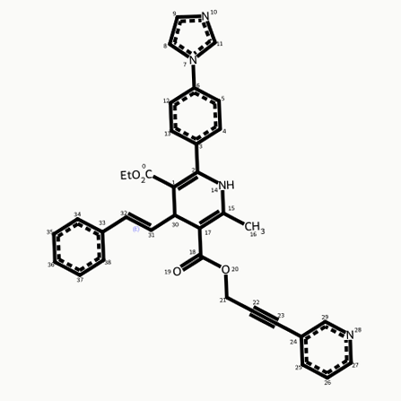 CCOC(=O)C1=C(c2ccc(-n3ccnc3)cc2)NC(C)=C(C(=O)OCC#Cc2cccnc2)C1/C=C/c1ccccc1